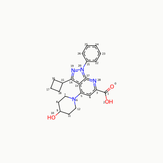 O=C(O)c1cc(N2CCC(O)CC2)c2c(C3CCC3)nn(-c3ccccc3)c2n1